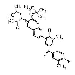 Cc1cc(C(=O)c2cc(N)c(=O)n(-c3ccc(CN(C(=O)OC(C)(C)C)C(CC(C)C)C(=O)O)cc3)c2)ccc1F